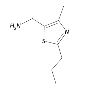 CCCc1nc(C)c(CN)s1